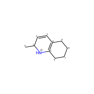 CC1C=CC2=C(CCCC2)N1